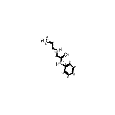 C=CCNCC(=O)Nc1ccccc1